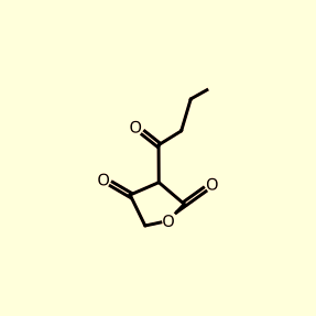 CCCC(=O)C1C(=O)COC1=O